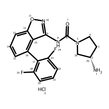 Cl.N[C@H]1CCN(C(=O)Nc2noc3cccc(-c4c(F)cccc4F)c23)C1